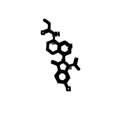 C=C(C)[C@H]1c2cc(Cl)ccc2C(=C)N1c1cncc2c1CCC[C@@H]2NC(=O)CC